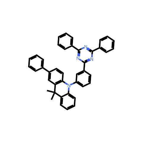 CC1(C)c2ccccc2N(c2cccc(-c3nc(-c4ccccc4)nc(-c4ccccc4)n3)c2)c2ccc(-c3ccccc3)cc21